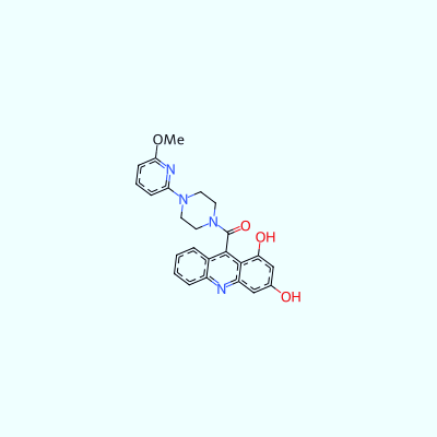 COc1cccc(N2CCN(C(=O)c3c4ccccc4nc4cc(O)cc(O)c34)CC2)n1